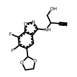 C#CC(CO)Nc1noc2c(F)c(F)c(C3OCCO3)cc12